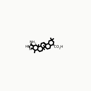 CC1c2n[nH]c(N)c2CC2(C)C1CCC1(C)C2CC=C2C3CC(C)(C)C[C@@H](C(=O)O)C3CCC21C